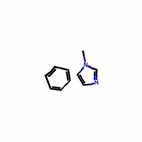 Cn1ccnc1.c1ccccc1